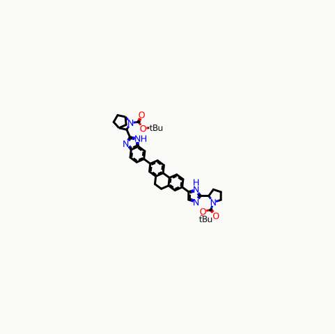 CC(C)(C)OC(=O)N1CCCC1c1ncc(-c2ccc3c(c2)CCc2cc(-c4ccc5nc(C6C7CCC(C7)N6C(=O)OC(C)(C)C)[nH]c5c4)ccc2-3)[nH]1